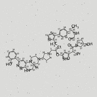 CCC(CN1CCC(N2CCN3c4cc(-c5ccccc5O)nnc4NC[C@H]3C2)C1)Oc1cc(C(C(=O)N2C[C@H](O)C[C@H]2C(=O)N[C@@H](C)c2ccc(-c3scnc3C)cc2)C(C)C)on1